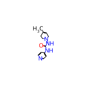 CC1=CCN(NC(=O)Nc2ccncc2)CC1